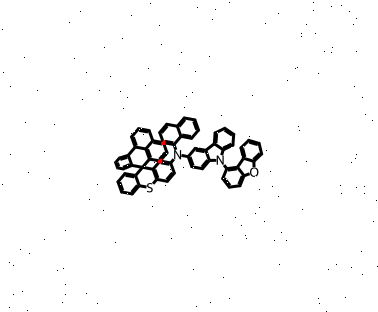 c1ccc2c(c1)Sc1ccc(N(c3ccc4c(c3)c3ccccc3n4-c3cccc4oc5ccccc5c34)c3cccc4ccccc34)cc1C21c2ccccc2-c2cccc3cccc1c23